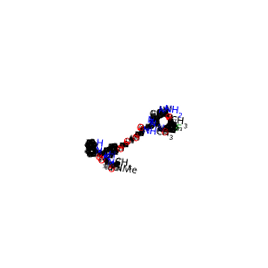 CN[C@H](C)C(=O)N[C@@H](C(=O)N1Cc2cc(OCCOCCOCCC(=O)NCCn3nc(C#N)c4c3CN(C)C(=O)c3ccc(F)cc3[C@@H](C)Oc3cc-4cnc3N)ccc2C[C@@H]1C(=O)N[C@H]1CCCc2ccccc21)C(C)(C)C